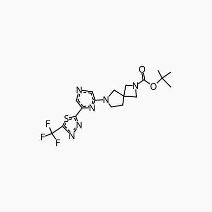 CC(C)(C)OC(=O)N1CC2(CCN(c3cncc(-c4nnc(C(F)(F)F)s4)n3)C2)C1